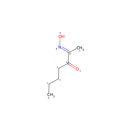 CCCCC(=O)C(C)=NO